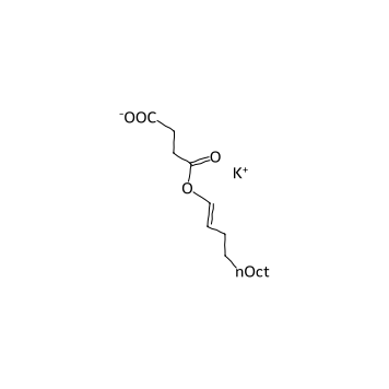 CCCCCCCCCCC=COC(=O)CCC(=O)[O-].[K+]